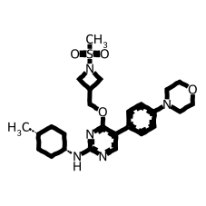 CS(=O)(=O)N1CC(COc2nc(N[C@H]3CC[C@@H](C)CC3)ncc2-c2ccc(N3CCOCC3)cc2)C1